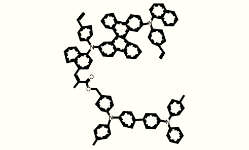 C=Cc1ccc(N(c2ccc3c4ccccc4c4c5cc(N(c6ccc(C=C)cc6)c6ccc(/C=C(/C)C(=O)OCc7ccc(N(c8ccc(C)cc8)c8ccc(-c9ccc(N(c%10ccccc%10)c%10ccc(C)cc%10)cc9)cc8)cc7)c7ccccc67)ccc5c5ccccc5c4c3c2)c2cccc3ccccc23)cc1